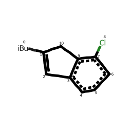 CCC(C)C1=Cc2cccc(Cl)c2C1